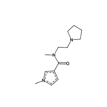 CN(CCN1CCCC1)C(=O)c1ccn(C)c1